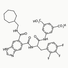 O=C(O)c1cc(NC(=O)C(Cc2ccc(F)c(F)c2F)NC(=O)c2cc3nc[nH]c3cc2C(=O)NCC2CCCCCC2)cc(C(=O)O)c1